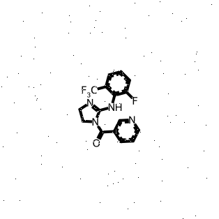 O=C(c1cccnc1)N1CCN=C1Nc1c(F)cccc1C(F)(F)F